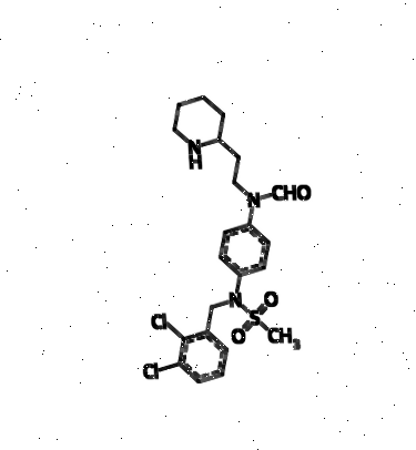 CS(=O)(=O)N(Cc1cccc(Cl)c1Cl)c1ccc(N(C=O)CCC2CCCCN2)cc1